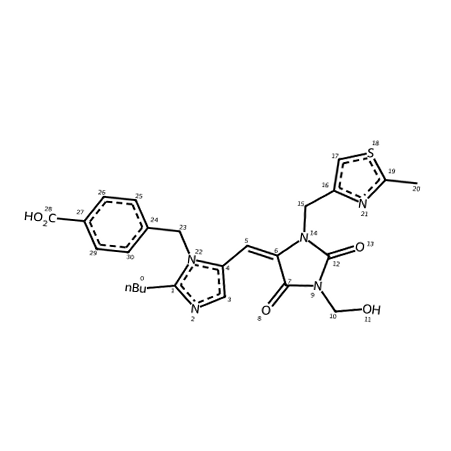 CCCCc1ncc(/C=C2\C(=O)N(CO)C(=O)N2Cc2csc(C)n2)n1Cc1ccc(C(=O)O)cc1